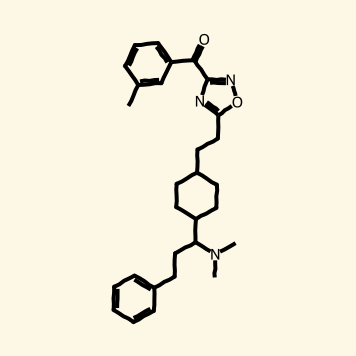 Cc1cccc(C(=O)c2noc(CCC3CCC(C(CCc4ccccc4)N(C)C)CC3)n2)c1